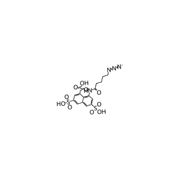 [N-]=[N+]=NCCCCC(=O)Nc1cc(S(=O)(=O)O)cc2cc(S(=O)(=O)O)cc(S(=O)(=O)O)c12